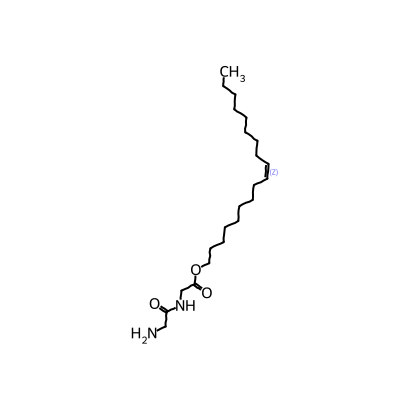 CCCCCCCC/C=C\CCCCCCCCOC(=O)CNC(=O)CN